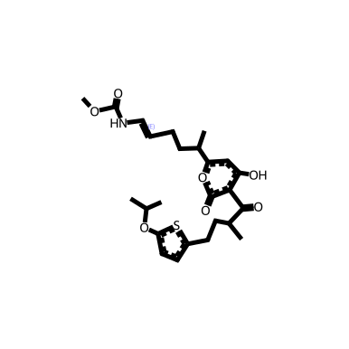 COC(=O)N/C=C/CCC(C)c1cc(O)c(C(=O)C(C)CCc2ccc(OC(C)C)s2)c(=O)o1